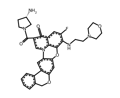 N[C@H]1CCN(C(=O)c2cn3c4c(c(NCCN5CCOCC5)c(F)cc4c2=O)Oc2cc4c(cc2-3)-c2ccccc2CO4)C1